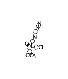 COc1cc2c(cc1OC(C)C)C(c1ccc(Cl)cc1)N(c1ccc(N(C)CC3CCC(N4CCN(C)CC4)CC3)cc1)C(=O)C2